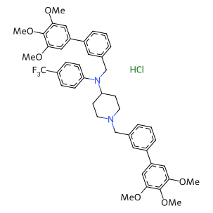 COc1cc(-c2cccc(CN3CCC(N(Cc4cccc(-c5cc(OC)c(OC)c(OC)c5)c4)c4ccc(C(F)(F)F)cc4)CC3)c2)cc(OC)c1OC.Cl